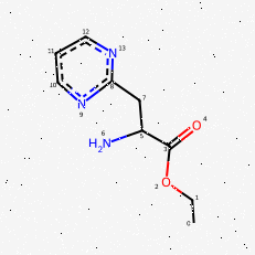 CCOC(=O)C(N)Cc1ncccn1